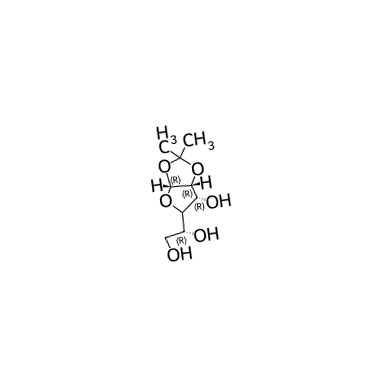 CC1(C)O[C@H]2OC([C@H](O)CO)[C@@H](O)[C@H]2O1